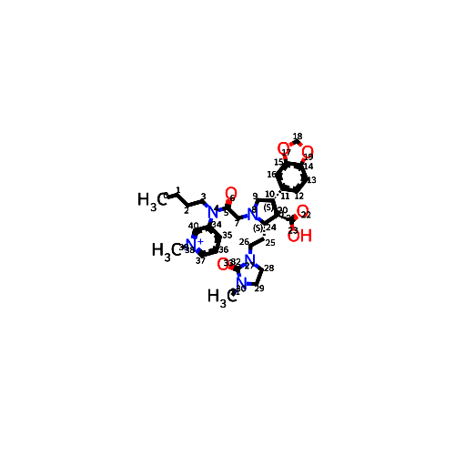 CCCCN(C(=O)CN1C[C@H](c2ccc3c(c2)OCO3)[C@@H](C(=O)O)[C@@H]1CCN1CCN(C)C1=O)c1ccc[n+](C)c1